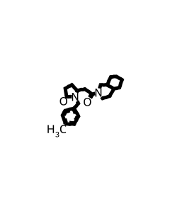 Cc1ccc(CN2C(=O)CCC2CC(=O)N2CCC3CCCCC3C2)cc1